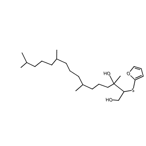 CC(C)CCCC(C)CCCC(C)CCCC(C)(O)C(CO)Sc1ccco1